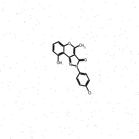 Cc1oc2cccc(O)c2c2nn(-c3ccc(Cl)cc3)c(=O)c1-2